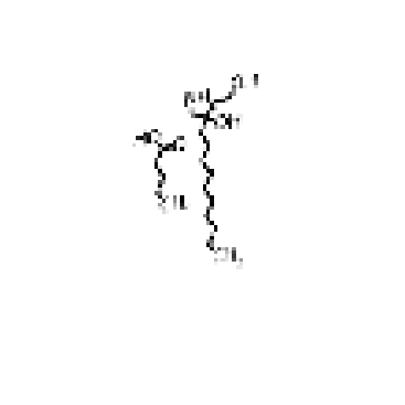 CCCCC(=O)O.CCCCCCCCCCC(O)(CN)CCO